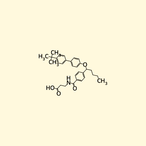 CCCCC(Oc1ccc(-c2ccc(C(C)(C)C)cc2)cc1)c1ccc(C(=O)NCCC(=O)O)cc1